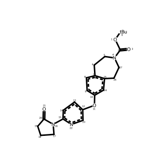 CC(C)(C)OC(=O)N1CCc2ccc(Oc3ccc(N4CCCC4=O)nc3)cc2CC1